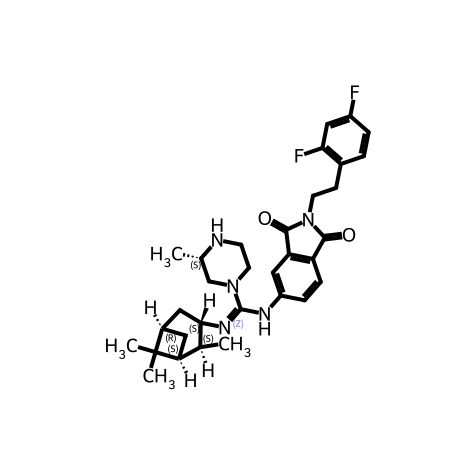 C[C@@H]1[C@@H](/N=C(/Nc2ccc3c(c2)C(=O)N(CCc2ccc(F)cc2F)C3=O)N2CCN[C@@H](C)C2)C[C@H]2C[C@@H]1C2(C)C